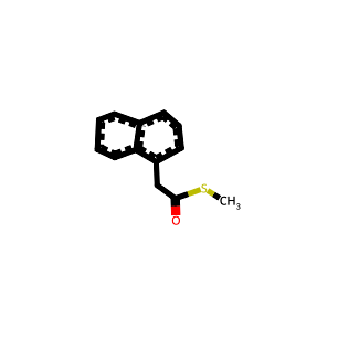 CSC(=O)Cc1cccc2ccccc12